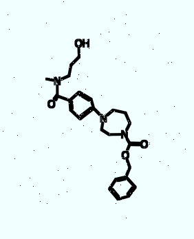 CN(CCCO)C(=O)c1ccc(N2CCCN(C(=O)OCc3ccccc3)CC2)cc1